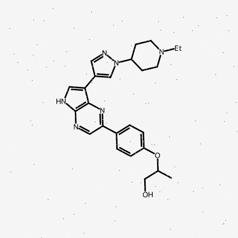 CCN1CCC(n2cc(-c3c[nH]c4ncc(-c5ccc(OC(C)CO)cc5)nc34)cn2)CC1